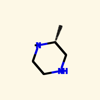 C[C@@H]1CNCC[N]1